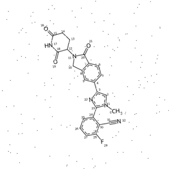 Cn1cc(-c2ccc3c(c2)CN(C2CCC(=O)NC2=O)C3=O)nc1-c1cccc(F)c1C#N